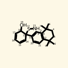 CC1(C)CCC(C)(C)c2cc(C3(SN)C=CC=CC3O)ccc21